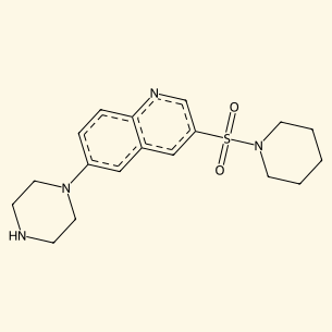 O=S(=O)(c1cnc2ccc(N3CCNCC3)cc2c1)N1CCCCC1